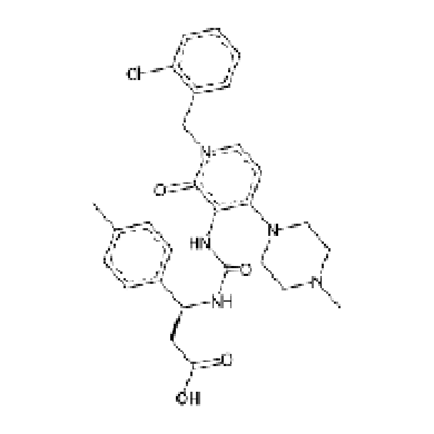 Cc1ccc([C@H](CC(=O)O)NC(=O)Nc2c(N3CCN(C)CC3)ccn(Cc3ccccc3Cl)c2=O)cc1